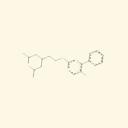 CC1CC(CCNc2ncc(Br)c(-c3ccccc3)n2)CC(C)N1